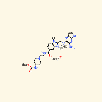 CCn1c(CN(C=O)c2nc3cc[nH]c3nc2N)[n+](CC)c2ccc(C(=O)NCCN3CCC(NC(=O)OC(C)(C)C)CC3)cc21.O=C[O-]